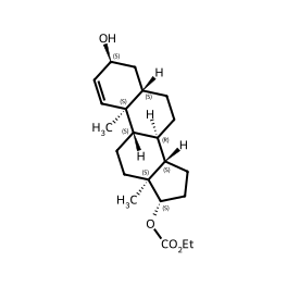 CCOC(=O)O[C@H]1CC[C@H]2[C@@H]3CC[C@H]4C[C@H](O)C=C[C@]4(C)[C@H]3CC[C@]12C